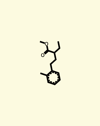 CCC(CCc1ccccc1C)C(=O)OC